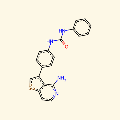 Nc1nccc2scc(-c3ccc(NC(=O)Nc4ccccc4)cc3)c12